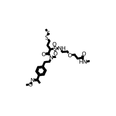 CNC(=O)CCOCCNS(=O)(=O)C(CCSSC)C(=O)N(C)CCc1ccc(/C(C)=N/OC)cc1